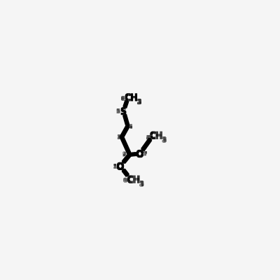 COC(CCSC)OC